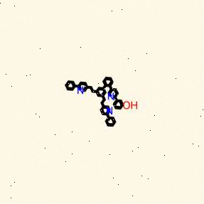 Oc1cccc(-c2ccc(-c3ccccc3-c3cc(CCc4ccc(-c5ccccc5)nc4)cc(CCc4ccc(-c5ccccc5)nc4)c3)cn2)c1